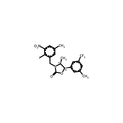 Cc1cc([C@H]2OC(=O)N(Cc3cc(C)cc([N+](=O)[O-])c3I)[C@H]2C)cc(C(F)(F)F)c1